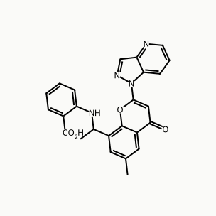 Cc1cc(C(C)Nc2ccccc2C(=O)O)c2oc(-n3ncc4ncccc43)cc(=O)c2c1